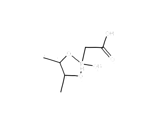 CC1O[PH](O)(CC(=O)O)OC1C